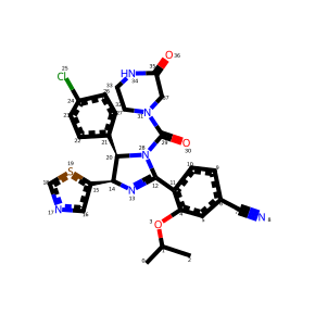 CC(C)Oc1cc(C#N)ccc1C1=N[C@@H](c2cncs2)[C@@H](c2ccc(Cl)cc2)N1C(=O)N1CCNC(=O)C1